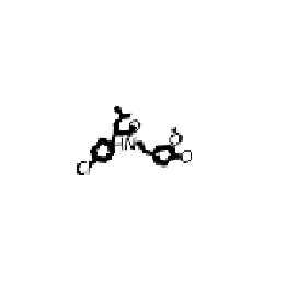 COc1ccc(CCNC(=O)/C(=C\C(C)C)c2ccc(Cl)cc2)cc1OC